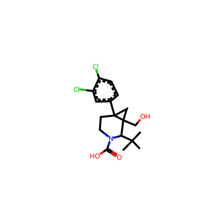 CC(C)(C)C1N(C(=O)O)CCC2(c3ccc(Cl)c(Cl)c3)CC12CO